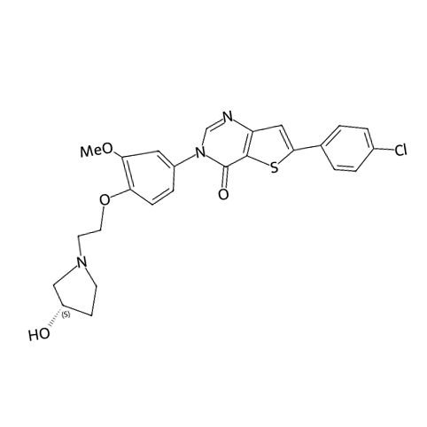 COc1cc(-n2cnc3cc(-c4ccc(Cl)cc4)sc3c2=O)ccc1OCCN1CC[C@H](O)C1